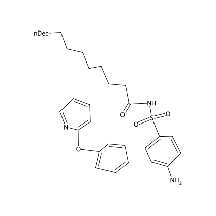 CCCCCCCCCCCCCCCCCC(=O)NS(=O)(=O)c1ccc(N)cc1.c1ccc(Oc2ccccn2)cc1